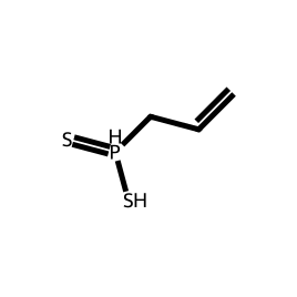 C=CC[PH](=S)S